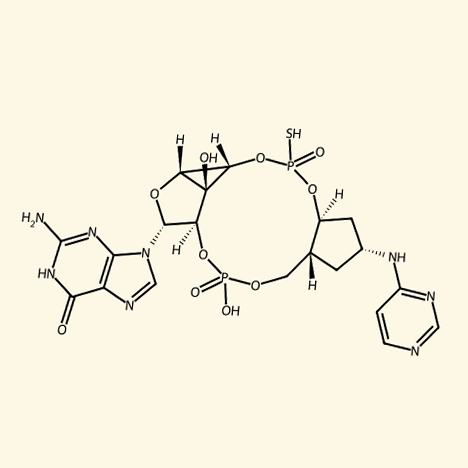 Nc1nc2c(ncn2[C@@H]2O[C@@H]3[C@@H]4OP(=O)(S)O[C@H]5C[C@H](Nc6ccncn6)C[C@@H]5COP(=O)(O)O[C@@H]2[C@]34O)c(=O)[nH]1